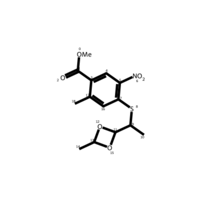 COC(=O)c1cc([N+](=O)[O-])c(SC(C)C2OC(C)O2)cc1C